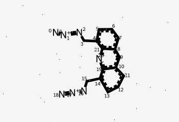 [N-]=[N+]=NCc1cccc2cc3cccc(CN=[N+]=[N-])c3nc12